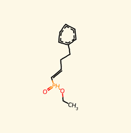 CCO[PH](=O)C=CCCc1ccccc1